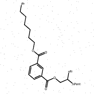 CCCCCC(CCC)COC(=O)c1cccc(C(=O)OCCCCCCC(C)C)c1